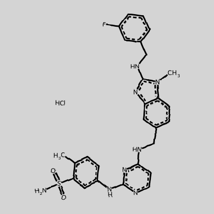 Cc1ccc(Nc2nccc(NCc3ccc4c(c3)nc(NCc3cccc(F)c3)n4C)n2)cc1S(N)(=O)=O.Cl